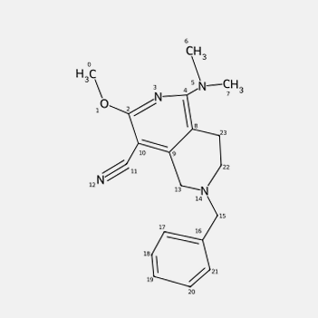 COc1nc(N(C)C)c2c(c1C#N)CN(Cc1ccccc1)CC2